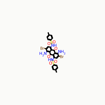 Cc1ccc(S(=O)(=O)Nc2cc(Br)c(N)c3c2C(=O)c2c(N)c(Br)cc(NS(=O)(=O)c4ccc(C)cc4)c2C3=O)cc1